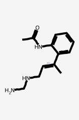 CC(=O)Nc1ccccc1/C(C)=C/CNCN